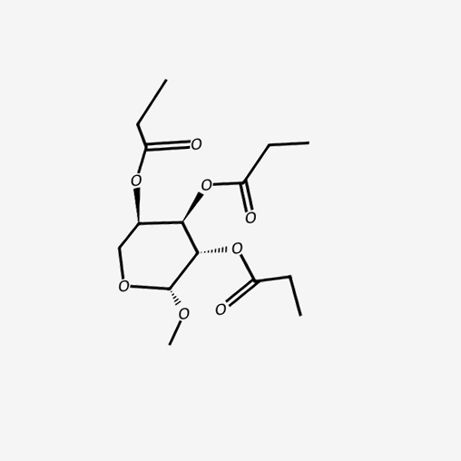 CCC(=O)O[C@@H]1[C@H](OC)OC[C@@H](OC(=O)CC)[C@H]1OC(=O)CC